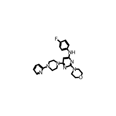 Fc1ccc(Nc2cc(N3CCN(c4ccccn4)CC3)nc(N3CCOCC3)n2)cc1